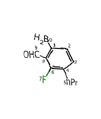 Bc1ccc(CCC)c(F)c1C=O